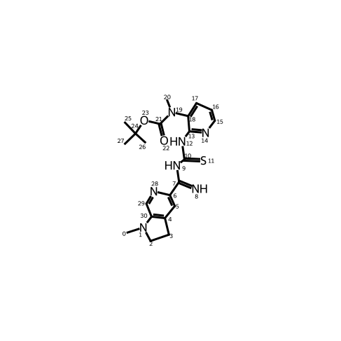 CN1CCc2cc(C(=N)NC(=S)Nc3ncccc3N(C)C(=O)OC(C)(C)C)ncc21